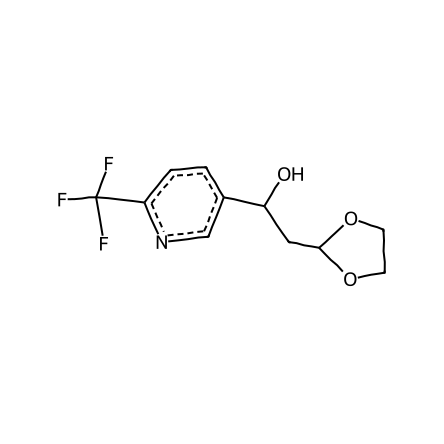 OC(CC1OCCO1)c1ccc(C(F)(F)F)nc1